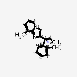 C/C=C(/c1cn2cccc(C)c2n1)c1ccccc1C